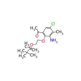 CC(=O)c1cc(Cl)c(C)c(N)c1OCCO[Si](C)(C)C(C)(C)C